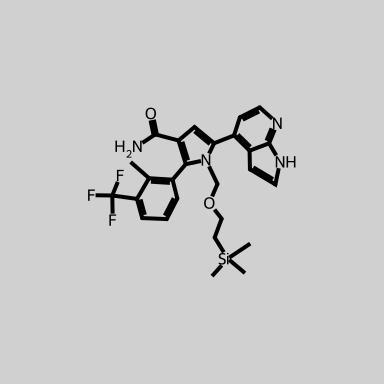 Cc1c(-c2c(C(N)=O)cc(-c3ccnc4[nH]ccc34)n2COCC[Si](C)(C)C)cccc1C(F)(F)F